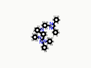 c1ccc(-c2cc(-c3ccccc3)nc(-c3cccc(-n4c5ccccc5c5c4ccc4c6c(nc(-c7ccccc7)n6-c6ccccc6)n(-c6ccccc6)c45)c3)n2)cc1